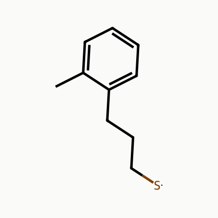 Cc1ccccc1CCC[S]